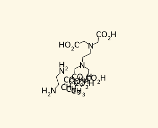 CC(=O)O.CC(=O)O.CC(=O)O.NCCN.O=C(O)CN(CCN(CC(=O)O)CC(=O)O)CC(=O)O